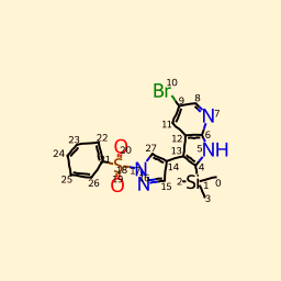 C[Si](C)(C)c1[nH]c2ncc(Br)cc2c1-c1cnn(S(=O)(=O)c2ccccc2)c1